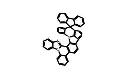 c1ccc2c(c1)-c1ccccc1C21c2ccccc2-n2c3c1cccc3c1ccc3c4ccccc4n4c5ccccc5nc4c3c12